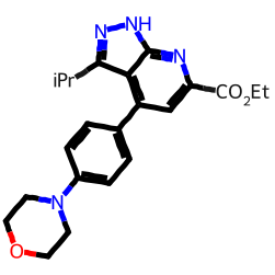 CCOC(=O)c1cc(-c2ccc(N3CCOCC3)cc2)c2c(C(C)C)n[nH]c2n1